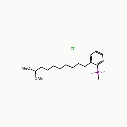 COC(CCCCCCCCc1ccccc1[P+](C)(C)C)OC.[Cl-]